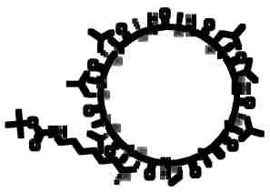 C=C1C(=O)N(C)[C@@H](CC(C)C)C(=O)N[C@H](C(C)C)C(=O)N(C)[C@H](CC(C)C)C(=O)N[C@H](C)C(=O)N[C@@H](C)C(=O)N(C)[C@@H](CC(C)C)C(=O)N(C)[C@@H](CC(C)C)C(=O)N(C)[C@@H](C(C)C)C(=O)N(C)[C@@H](C[C@H](C)CCCCCCNC(=O)OC(C)(C)C)C(=O)N[C@@H](CC)C(=O)N1C